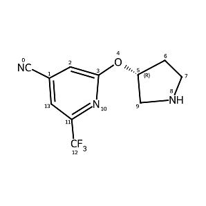 N#Cc1cc(O[C@@H]2CCNC2)nc(C(F)(F)F)c1